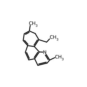 CCC1=c2c(ccc3ccc(C)nc23)=CC=C(C)C1